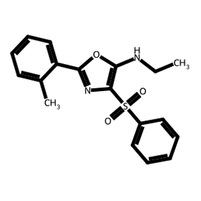 CCNc1oc(-c2ccccc2C)nc1S(=O)(=O)c1ccccc1